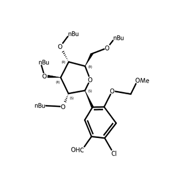 CCCCOC[C@H]1O[C@@H](c2cc(C=O)c(Cl)cc2OCOC)[C@H](OCCCC)[C@@H](OCCCC)[C@@H]1OCCCC